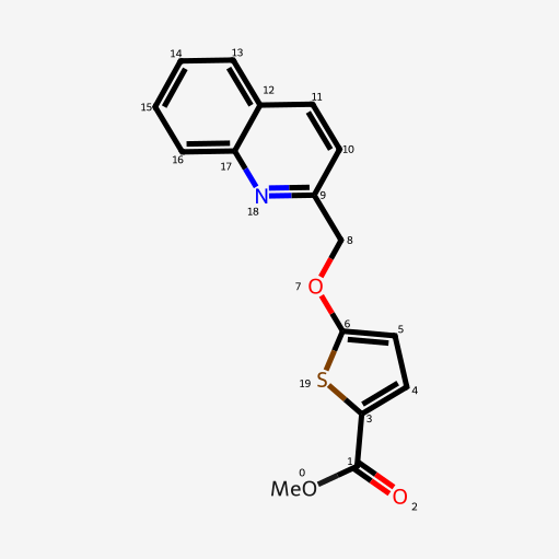 COC(=O)c1ccc(OCc2ccc3ccccc3n2)s1